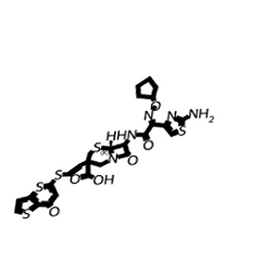 Nc1nc(C(=NOC2CCCC2)C(=O)NC2C(=O)N3CC(C=CSc4cc(=O)c5sccc5s4)(C(=O)O)CS[C@H]23)cs1